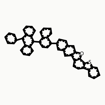 c1ccc(-c2c3ccccc3c(-c3ccc(-c4ccc5cc6oc7c(ccc8c9ccccc9sc87)c6cc5c4)c4ccccc34)c3ccccc23)cc1